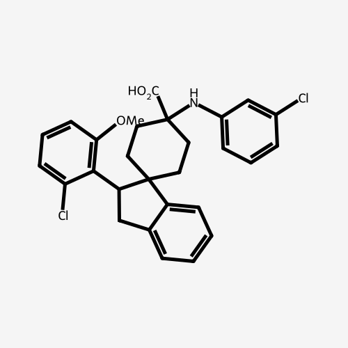 COc1cccc(Cl)c1C1Cc2ccccc2C12CCC(Nc1cccc(Cl)c1)(C(=O)O)CC2